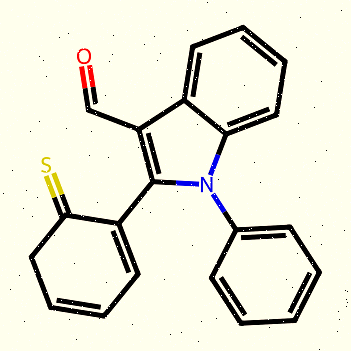 O=Cc1c(C2=CC=CCC2=S)n(-c2ccccc2)c2ccccc12